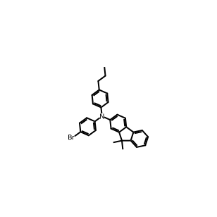 CCCc1ccc(N(c2ccc(Br)cc2)c2ccc3c(c2)C(C)(C)c2ccccc2-3)cc1